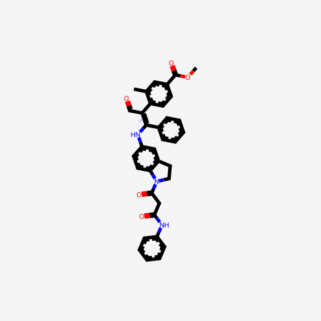 COC(=O)c1ccc(/C(C=O)=C(/Nc2ccc3c(c2)CCN3C(=O)CC(=O)Nc2ccccc2)c2ccccc2)c(C)c1